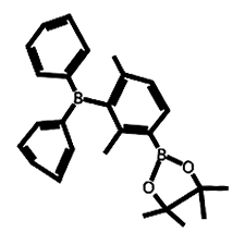 Cc1ccc(B2OC(C)(C)C(C)(C)O2)c(C)c1B(c1ccccc1)c1ccccc1